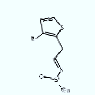 CC(C)(C)[S@+]([O-])/N=C/Cc1sccc1Br